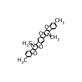 Cc1ccc2c(c1)oc1c3oc4cc5c(cc4c3n(C)c21)oc1c2oc3cc(C)ccc3c2n(C)c51